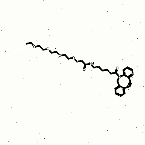 CCOCCOCCOCCOCCC(=O)NCCCCCC(=O)N1Cc2ccccc2C#Cc2ccccc21